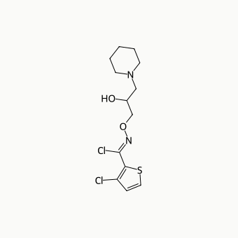 OC(CON=C(Cl)c1sccc1Cl)CN1CCCCC1